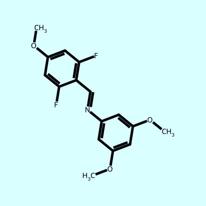 COc1cc(/N=C/c2c(F)cc(OC)cc2F)cc(OC)c1